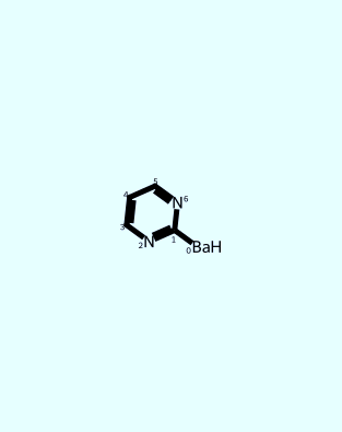 [BaH][c]1ncccn1